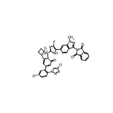 Cn1nc(N2C(=O)c3ccccc3C2=O)c2ccc(-c3[nH]c([C@@H]4[C@H]5CCC5c5cc(-c6cc(Cl)ccc6-n6cc(Cl)nn6)cc(=O)n54)nc3F)cc21